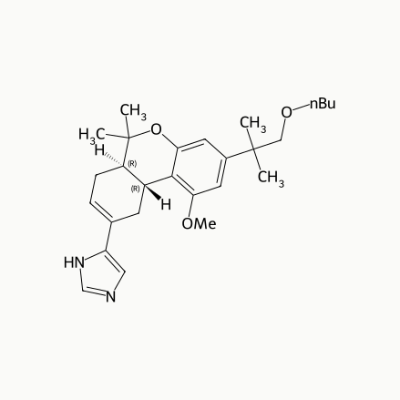 CCCCOCC(C)(C)c1cc(OC)c2c(c1)OC(C)(C)[C@@H]1CC=C(c3cnc[nH]3)C[C@@H]21